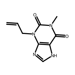 C=CCn1c(=O)n(C)c(=O)c2[nH]cnc21